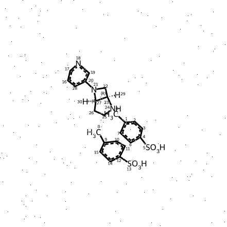 Cc1ccc(S(=O)(=O)O)cc1.Cc1ccc(S(=O)(=O)O)cc1.c1cncc(N2C[C@H]3NCC[C@H]32)c1